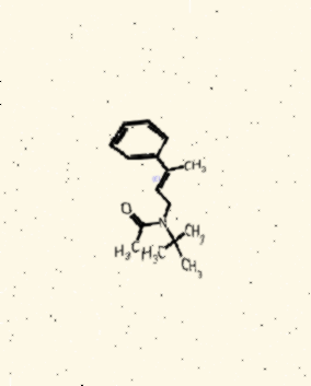 CC(=O)N(C/C=C(\C)c1ccccc1)C(C)(C)C